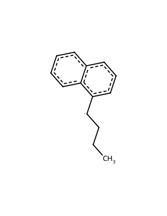 CCC[CH]c1cccc2ccccc12